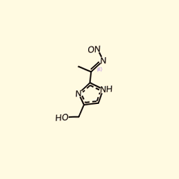 C/C(=N\N=O)c1nc(CO)c[nH]1